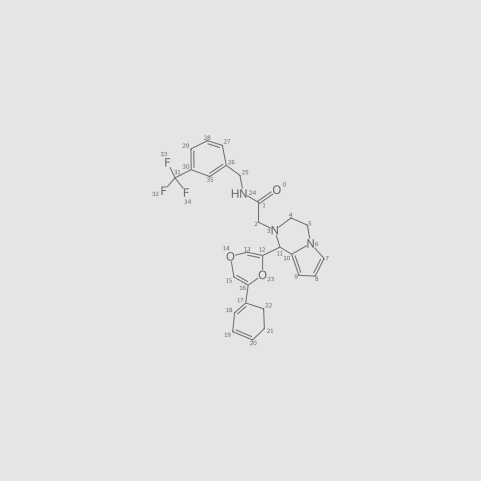 O=C(CN1CCn2cccc2C1C1=COC=C(C2=CC=CCC2)O1)NCc1cccc(C(F)(F)F)c1